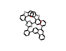 c1ccc(-c2cc3ccccc3c3cc(-c4ccccc4-c4nc(-c5cccc6oc7ccccc7c56)nc(-c5cccc6oc7ccccc7c56)n4)ccc23)cc1